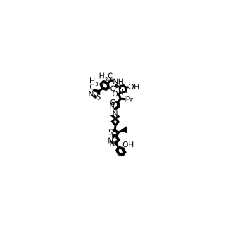 Cc1ncsc1-c1ccc([C@H](C)NC(=O)[C@@H]2C[C@@H](O)CN2C(=O)C(c2cc(N3CC4(CC(c5sc6nnc(-c7ccccc7O)cc6c5C5CC5)C4)C3)no2)C(C)C)cc1